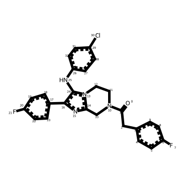 O=C(Cc1ccc(F)cc1)N1CCn2c(nc(-c3ccc(F)cc3)c2Nc2ccc(Cl)cc2)C1